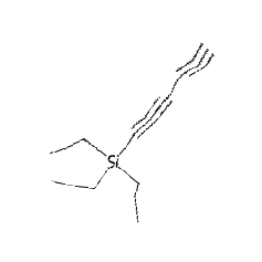 C#CC#C[Si](CC)(CC)CC